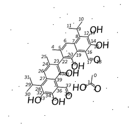 CC(=O)O.Cc1cc2c(C(C)C)c(O)c(O)c(C=O)c2c(O)c1-c1c(C)cc2c(C(C)C)c(O)c(O)c(C=O)c2c1O